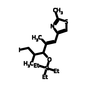 CC[Si](CC)(CC)OC(/C(C)=C/c1csc(C)n1)C(C)CI